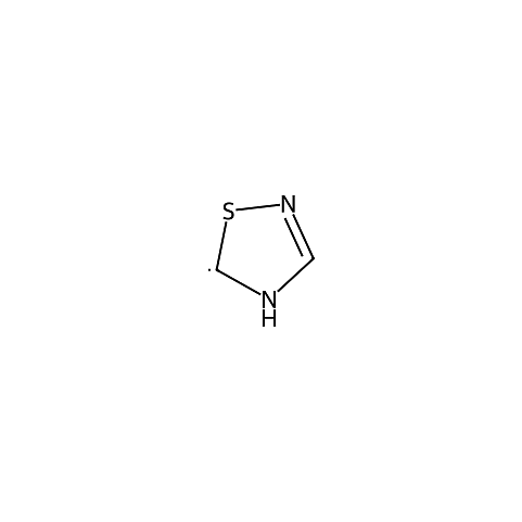 [CH]1NC=NS1